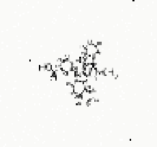 CN(C)Cc1c(-c2cc3ccccc3o2)n(-c2cccc(C(=O)O)c2)c2ccc3ccccc3c12